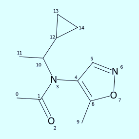 CC(=O)N(c1cnoc1C)C(C)C1CC1